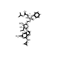 CC(C)OC(=O)[C@H](C)N[P@@](=O)(OC[C@H]1O[C@@H](n2cnc3c(NC4CC4)nc(N)nc32)[C@@](F)(CF)[C@@H]1O)Oc1ccccc1